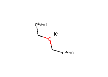 CCCCCCOCCCCCC.[K]